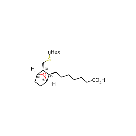 CCCCCCSC[C@H]1[C@@H](CCCCCCC(=O)O)[C@H]2CC[C@@H]1O2